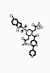 CNC(=O)CC1CN(S(=O)(=O)c2cc3cc(Cl)ccc3[nH]2)CC(CC(=O)[NH+](C)[O-])N1C(=O)c1cnc(-c2ccncc2)nc1